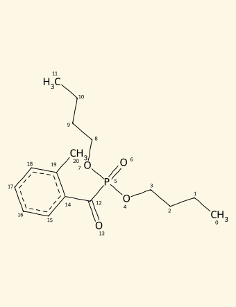 CCCCOP(=O)(OCCCC)C(=O)c1ccccc1C